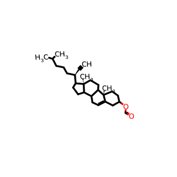 C#C[C@H](CCCC(C)C)C1CCC2C3CC=C4CC(OC=O)CC[C@]4(C)C3CC[C@@]21C